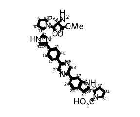 COC(=O)[C@@](N)(C(=O)N1CCC[C@H]1c1nc(-c2ccc(-c3cnc(-c4ccc5cc([C@@H]6CCCN6C(=O)O)[nH]c5c4)cn3)cc2)c[nH]1)C(C)C